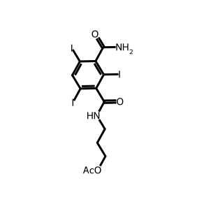 CC(=O)OCCCNC(=O)c1c(I)cc(I)c(C(N)=O)c1I